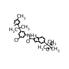 Cc1csc(C(C)(C)c2cc(Cl)cc(NC(=O)c3cc4cc(C(C)(C)S(C)(=O)=O)ccc4s3)c2)c1